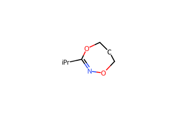 CC(C)C1=NOCCCO1